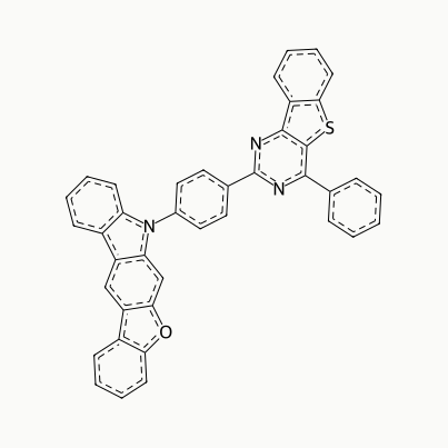 c1ccc(-c2nc(-c3ccc(-n4c5ccccc5c5cc6c(cc54)oc4ccccc46)cc3)nc3c2sc2ccccc23)cc1